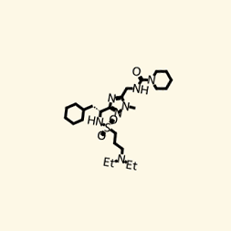 CCN(CC)CCCS(=O)(=O)N[C@H](CC1CCCCC1)c1nc(CNC(=O)N2CCCCC2)n(C)n1